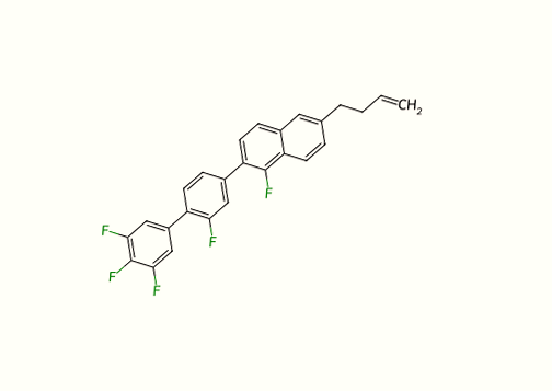 C=CCCc1ccc2c(F)c(-c3ccc(-c4cc(F)c(F)c(F)c4)c(F)c3)ccc2c1